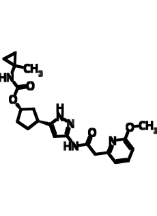 COc1cccc(CC(=O)Nc2cc([C@H]3CC[C@@H](OC(=O)NC4(C)CC4)C3)[nH]n2)n1